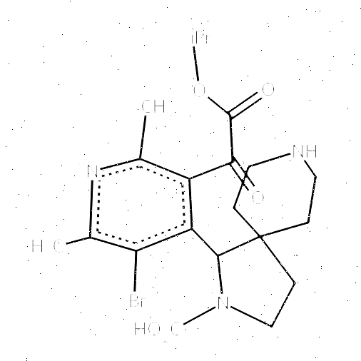 Cc1nc(C)c(C(=O)C(=O)OC(C)C)c(C2N(C(=O)O)CCC23CCNCC3)c1Br